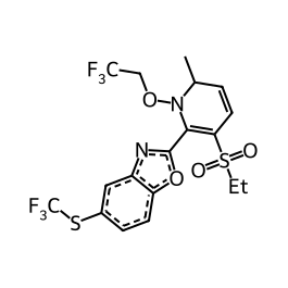 CCS(=O)(=O)C1=C(c2nc3cc(SC(F)(F)F)ccc3o2)N(OCC(F)(F)F)C(C)C=C1